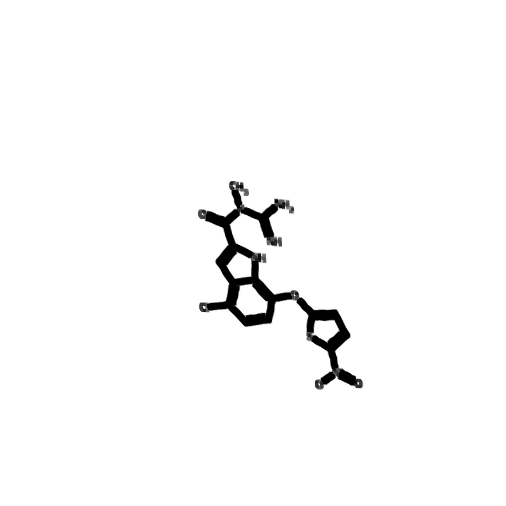 CN(C(=N)N)C(=O)c1cc2c(Cl)ccc(Oc3ccc([N+](=O)[O-])s3)c2[nH]1